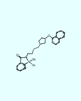 O=C1c2ccccc2S(O)(O)N1CCCCN1CCC(Oc2nccc3ccccc23)C1